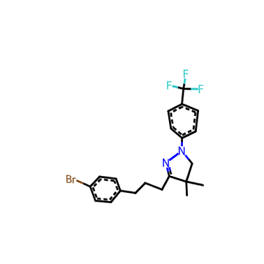 CC1(C)CN(c2ccc(C(F)(F)F)cc2)N=C1CCCc1ccc(Br)cc1